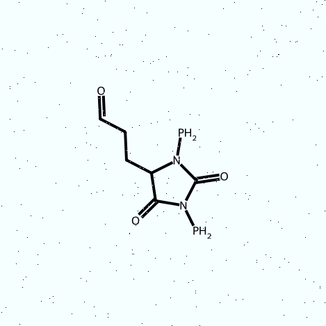 O=CCCC1C(=O)N(P)C(=O)N1P